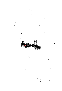 Cn1cc(CC(=O)N[C@H]2CC[C@H](CCN3CCc4ccc(OCC(C)(F)F)nc4CC3)CC2)c(F)n1